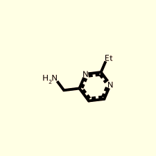 CCc1nccc(CN)n1